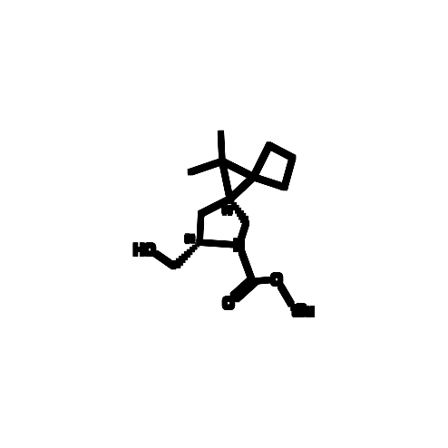 CC(C)(C)OC(=O)N1C[C@]2(C[C@H]1CO)C(C)(C)C21CCC1